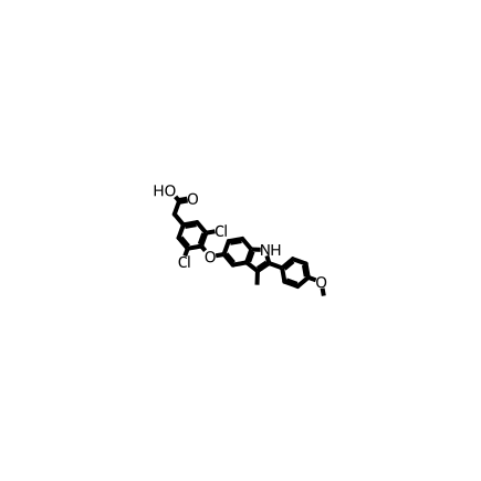 COc1ccc(-c2[nH]c3ccc(Oc4c(Cl)cc(CC(=O)O)cc4Cl)cc3c2C)cc1